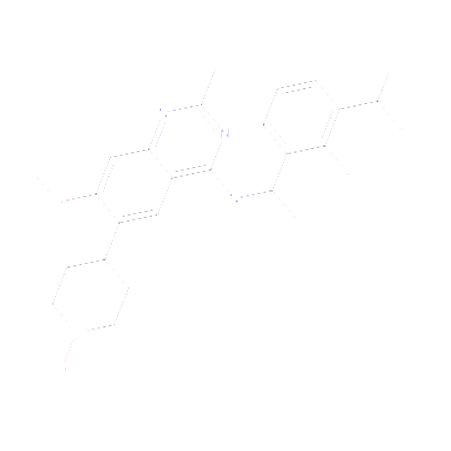 COc1cc2nc(C)nc(NC(C)c3cccc(C(F)F)c3F)c2cc1C1CC[S+]([O-])CC1